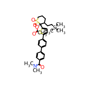 CC(=O)O[C@@]1(c2ccc(-c3ccc(-c4ccc(C(=O)N(C)C)cc4)cc3)s2)C(CC[Si](C)(C)C)CCCS1(=O)=O